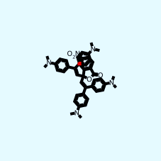 CN(C)c1ccc(C(=CC2(C=C(c3ccc(N(C)C)cc3)c3ccc(N(C)C)cc3)OC(=O)c3ccc([N+](=O)[O-])cc32)c2ccc(N(C)C)cc2)cc1